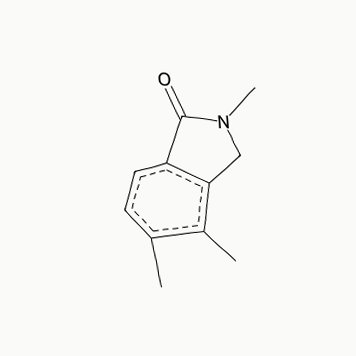 Cc1ccc2c(c1C)CN(C)C2=O